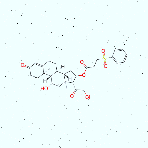 C[C@]12C[C@H](O)[C@H]3[C@@H](CCC4=CC(=O)CC[C@@]43C)[C@@H]1C[C@@H](OC(=O)CCS(=O)(=O)c1ccccc1)[C@@H]2C(=O)CO